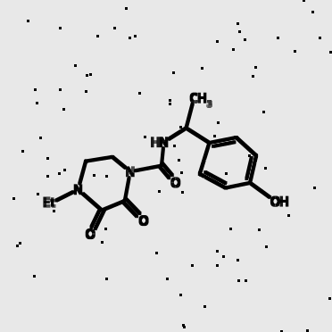 CCN1CCN(C(=O)NC(C)c2ccc(O)cc2)C(=O)C1=O